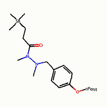 CCCCCOc1ccc(CN(C)N(C)C(=O)C[CH2][Sn]([CH3])([CH3])[CH3])cc1